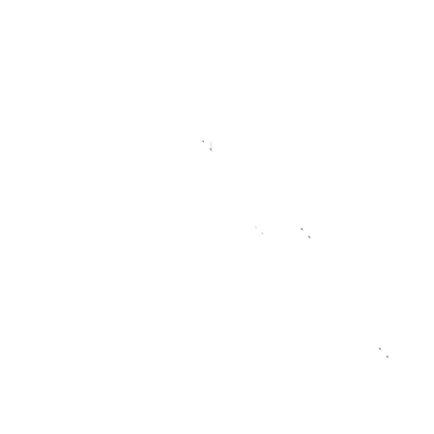 CCC1C(c2cccnc2)=CN=C1SCC1=Nc2ccccc2C1